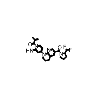 C=C(C)C(=O)n1ccc(N2CCCc3cc(C(=O)N4CCCC4C(F)F)cnc32)cc1=N